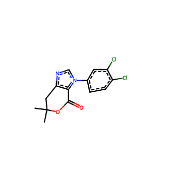 CC1(C)Cc2ncn(-c3ccc(Cl)c(Cl)c3)c2C(=O)O1